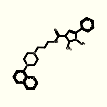 CCCN1C(c2ccccc2)=CC(C(=O)NCCCN2CCN(c3cccc4cccnc34)CC2)C1C